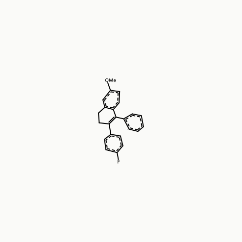 COc1ccc2c(c1)CCC(c1ccc(F)cc1)=C2c1[c]cccc1